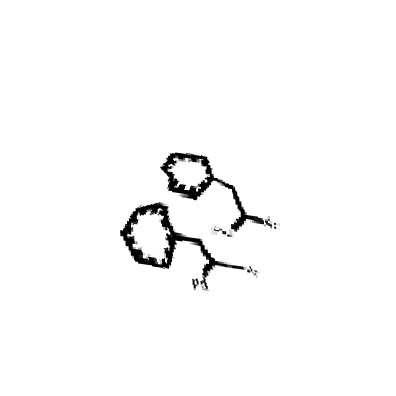 CC(=O)[CH]([Pd])Cc1ccccc1.CC(=O)[CH]([Pd])Cc1ccccc1